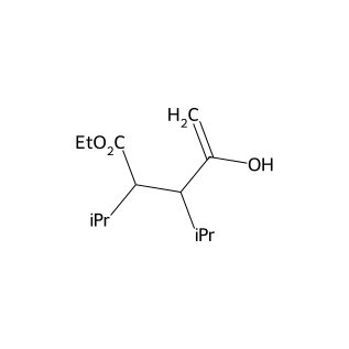 C=C(O)C(C(C)C)C(C(=O)OCC)C(C)C